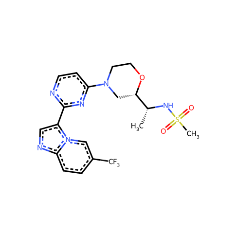 C[C@@H](NS(C)(=O)=O)[C@@H]1CN(c2ccnc(-c3cnc4ccc(C(F)(F)F)cn34)n2)CCO1